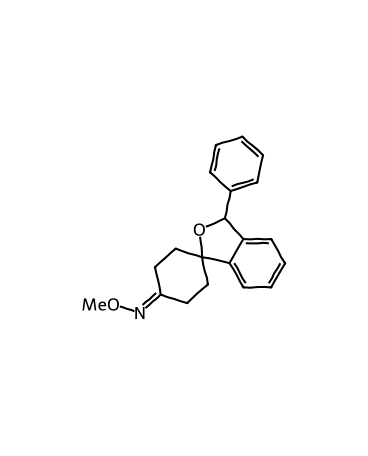 CON=C1CCC2(CC1)OC(c1ccccc1)c1ccccc12